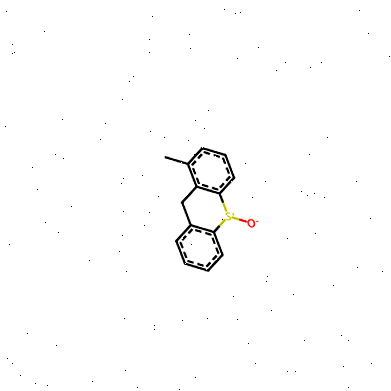 Cc1cccc2c1Cc1ccccc1[S+]2[O-]